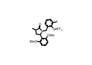 COc1cccc(OC)c1C1CC(C)C(=O)N1Cc1cccc(F)c1OC(F)(F)F